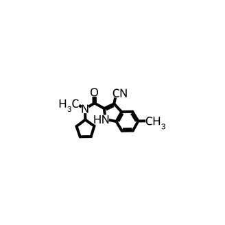 Cc1ccc2[nH]c(C(=O)N(C)C3CCCC3)c(C#N)c2c1